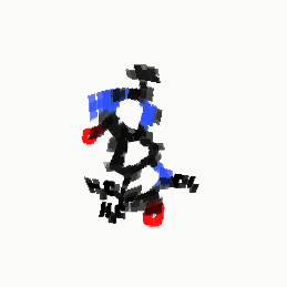 CCc1nc2cc3c(cc2c(=O)[nH]1)C(C)(C)C(=O)N3C